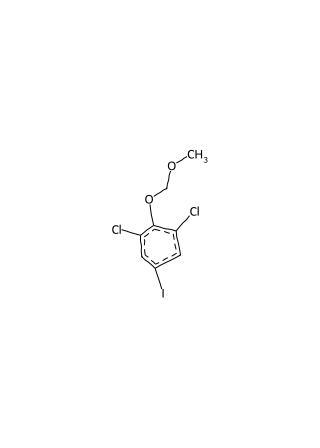 COCOc1c(Cl)cc(I)cc1Cl